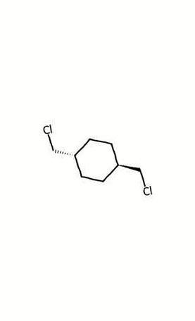 ClC[C@H]1CC[C@H](CCl)CC1